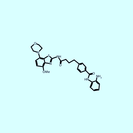 COc1ccc(N2CCOCC2)c2sc(NC(=O)CCCc3ccc(C(=O)Nc4ccccc4N)cc3)nc12